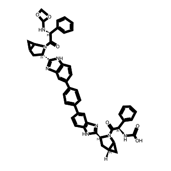 O=C(O)N[C@@H](C(=O)N1C2C[C@@H]2C[C@H]1c1nc2cc(-c3ccc(-c4ccc5[nH]c([C@@H]6CC7CC7N6C(=O)[C@H](NC6OCO6)c6ccccc6)nc5c4)cc3)ccc2[nH]1)c1ccccc1